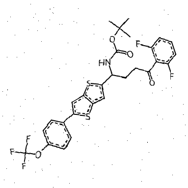 CC(C)(C)OC(=O)NC(CCC(=O)c1c(F)cccc1F)c1cc2sc(-c3ccc(OC(F)(F)F)cc3)cc2s1